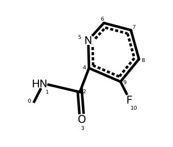 CNC(=O)c1ncccc1F